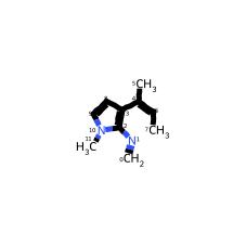 C=Nc1c(/C(C)=C\C)ccn1C